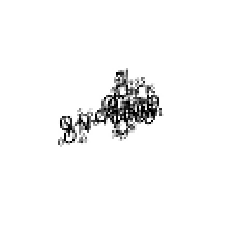 COC(=O)c1ccc(CONC(=O)[C@@H]2c3ccccc3C(=O)N([C@H]3CCCC[C@@H]3NS(C)(=O)=O)[C@H]2c2ccc(Cl)cc2Cl)n1C